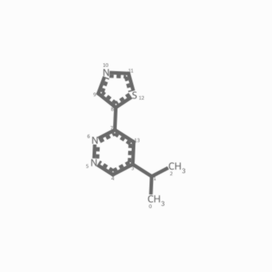 CC(C)c1cnnc(-c2cncs2)c1